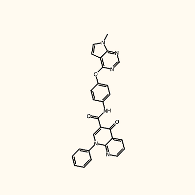 Cn1ccc2c(Oc3ccc(NC(=O)c4cn(-c5ccccc5)c5ncccc5c4=O)cc3)ncnc21